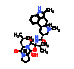 Cc1[nH]c2cccc3c2c1C[C@H]1C3=C[C@@H](C(=O)N[C@]2(C(C)C)O[C@@]3(O)[C@@H]4CCCN4C(=O)[C@H](CC(C)C)N3C2=O)CN1C